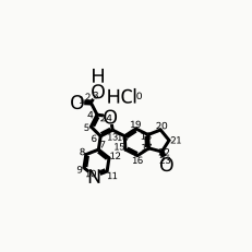 Cl.O=C(O)c1cc(-c2ccncc2)c(-c2ccc3c(c2)CCC3=O)o1